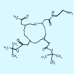 CC(=O)CN1CCN(CC(=O)NCCN)CCN(CC(=O)OC(C)(C)C)CCN(CC(=O)OC(C)(C)C)CC1